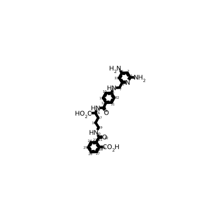 Nc1cc(N)nc(CNc2ccc(C(=O)NC(CCCNC(=O)c3ccccc3C(=O)O)C(=O)O)cc2)c1